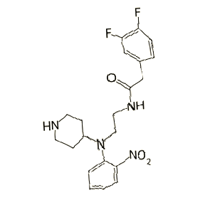 O=C(Cc1ccc(F)c(F)c1)NCCN(c1ccccc1[N+](=O)[O-])C1CCNCC1